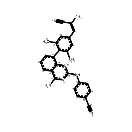 C/C(C#N)=C/c1cc(C)c(-c2cccc3c(N)nc(Nc4ccc(C#N)cc4)nc23)c(C)c1